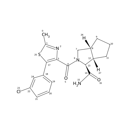 Cc1nc(C(=O)N2C[C@@H]3CCC[C@@H]3[C@H]2C(N)=O)c(-c2cccc(Cl)c2)s1